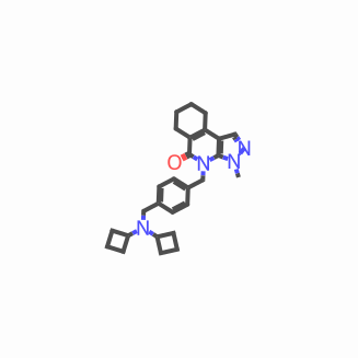 Cn1ncc2c3c(c(=O)n(Cc4ccc(CN(C5CCC5)C5CCC5)cc4)c21)CCCC3